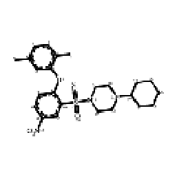 Cc1ccc(C)c(Oc2ccc([N+](=O)[O-])cc2S(=O)(=O)N2CCN(C3CCCCC3)CC2)c1